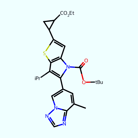 CCOC(=O)C1CC1c1cc2c(s1)c(C(C)C)c(-c1cc(C)c3ncnn3c1)n2C(=O)OC(C)(C)C